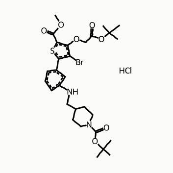 COC(=O)c1sc(-c2cccc(NCC3CCN(C(=O)OC(C)(C)C)CC3)c2)c(Br)c1OCC(=O)OC(C)(C)C.Cl